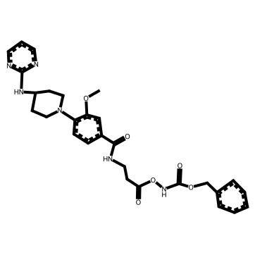 COc1cc(C(=O)NCCC(=O)ONC(=O)OCc2ccccc2)ccc1N1CCC(Nc2ncccn2)CC1